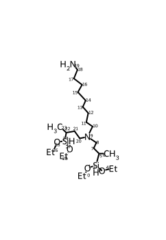 CCO[SiH](OCC)C(C)CCN(CCCCCCCCCN)CCC(C)[SiH](OCC)OCC